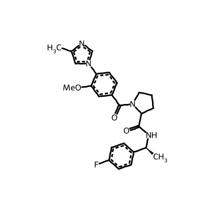 COc1cc(C(=O)N2CCCC2C(=O)N[C@@H](C)c2ccc(F)cc2)ccc1-n1cnc(C)c1